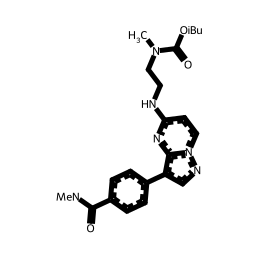 CNC(=O)c1ccc(-c2cnn3ccc(NCCN(C)C(=O)OCC(C)C)nc23)cc1